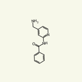 NCc1ccnc(NC(=O)c2ccccc2)c1